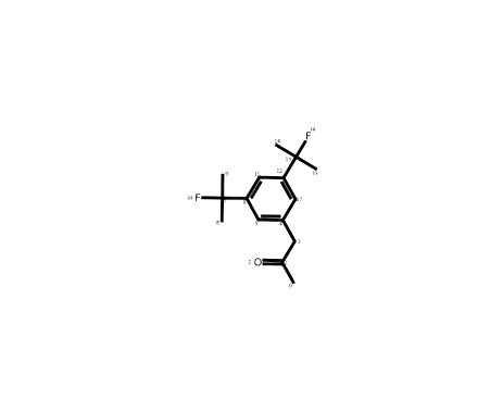 CC(=O)Cc1cc(C(C)(C)F)cc(C(C)(C)F)c1